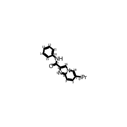 CC(C)c1ccc2nc(C(=O)Nc3ccccc3)cn2c1